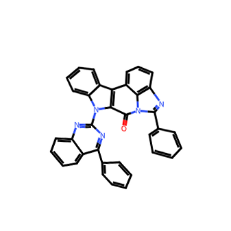 O=c1c2c(c3ccccc3n2-c2nc(-c3ccccc3)c3ccccc3n2)c2cccc3nc(-c4ccccc4)n1c32